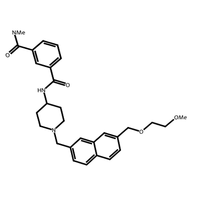 CNC(=O)c1cccc(C(=O)NC2CCN(Cc3ccc4ccc(COCCOC)cc4c3)CC2)c1